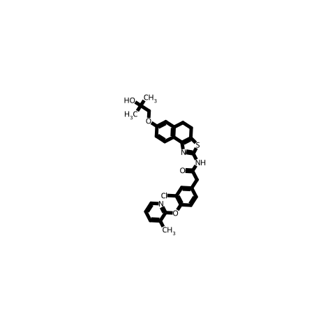 Cc1cccnc1Oc1ccc(CC(=O)Nc2nc3c(s2)CCc2cc(OCC(C)(C)O)ccc2-3)cc1Cl